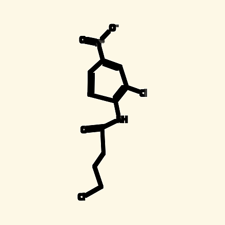 O=C(CCCCl)Nc1ccc([N+](=O)[O-])cc1Cl